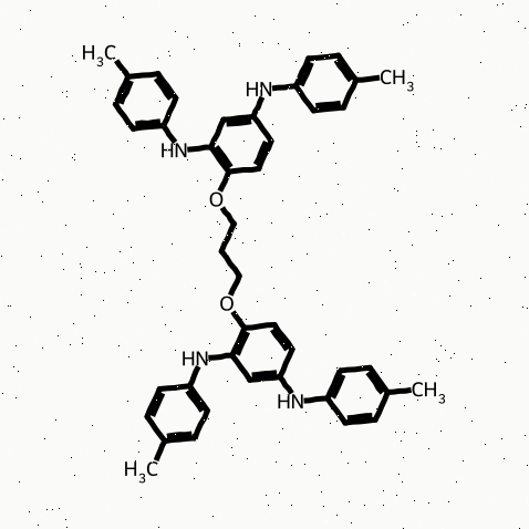 Cc1ccc(Nc2ccc(OCCCOc3ccc(Nc4ccc(C)cc4)cc3Nc3ccc(C)cc3)c(Nc3ccc(C)cc3)c2)cc1